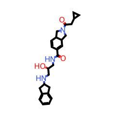 O=C(NCC(O)CNC1Cc2ccccc2C1)C1=CC2CN(C(=O)CC3CC3)CC2C=C1